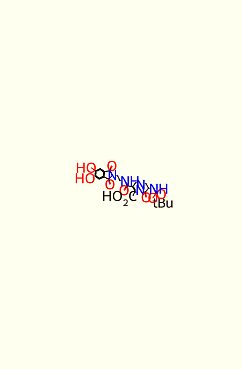 CC(C)(C)OC(=O)NC1CN2CC(C(=O)NCCN3C(=O)c4cc(O)c(O)cc4C3=O)=C(C(=O)O)N2C1=O